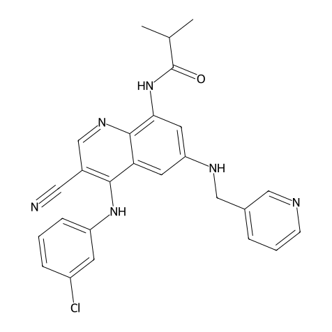 CC(C)C(=O)Nc1cc(NCc2cccnc2)cc2c(Nc3cccc(Cl)c3)c(C#N)cnc12